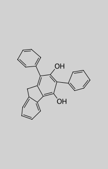 Oc1c(-c2ccccc2)c(O)c2c(c1-c1ccccc1)Cc1ccccc1-2